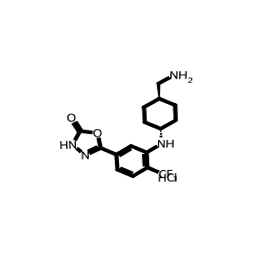 Cl.NC[C@H]1CC[C@H](Nc2cc(-c3n[nH]c(=O)o3)ccc2C(F)(F)F)CC1